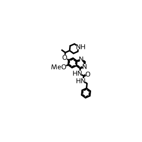 COc1cc2c(NC(=O)NCc3ccccc3)ncnc2cc1OC(C)C1CCNCC1